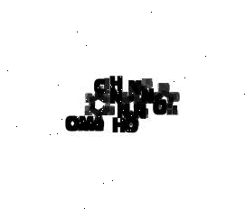 COc1ccc(Cl)c(Nc2nc(O)nc3c2ncn3C2CCCO2)c1